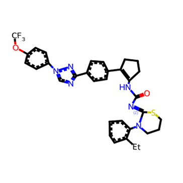 CCc1ccccc1N1CCCS/C1=N\C(=O)NC1=C(c2ccc(-c3ncn(-c4ccc(OC(F)(F)F)cc4)n3)cc2)CCC1